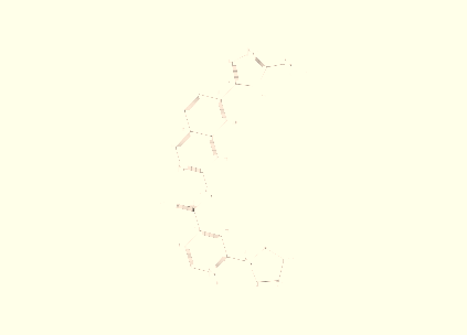 Nc1ncc(-c2ccc3cnc(NC(=O)c4ccnc(N5CCCC5)c4)cc3c2)s1